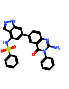 Nc1nc2ccc(-c3cc(NS(=O)(=O)c4ccccc4)c4cn[nH]c4c3)cc2c(=O)n1-c1ccccc1